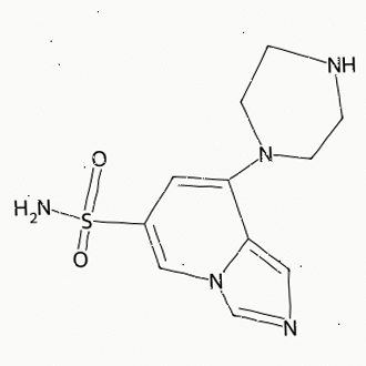 NS(=O)(=O)c1cc(N2CCNCC2)c2cncn2c1